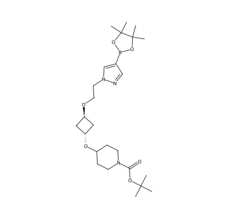 CC(C)(C)OC(=O)N1CCC(O[C@H]2C[C@H](OCCn3cc(B4OC(C)(C)C(C)(C)O4)cn3)C2)CC1